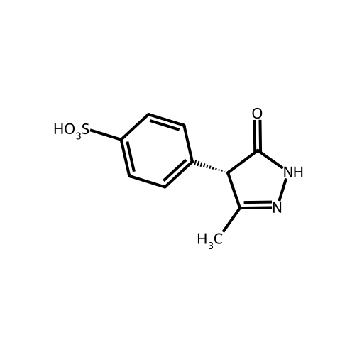 CC1=NNC(=O)[C@H]1c1ccc(S(=O)(=O)O)cc1